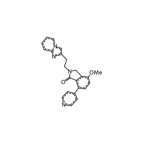 COc1ccc(-c2ccncc2)c2c1CN(CCc1cn3ccccc3n1)C2=O